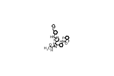 CC(=O)Nc1nc(-c2cccc(NC(=O)c3c(F)cccc3F)c2)c(-c2ccnc(Nc3cccc(CN4CCCC4)c3)n2)s1